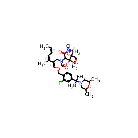 BC(B)(c1ccc(CO/C=C(CN(C=O)C(C(=O)NC)C(B)(O)C(B)(O)C=O)/C(C)=C\C=C/C)c(F)c1)N1CC(C)OC(C)C1